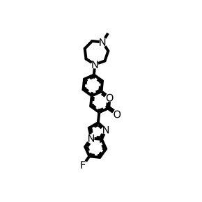 CN1CCCN(c2ccc3cc(-c4cn5cc(F)ccc5n4)c(=O)oc3c2)CC1